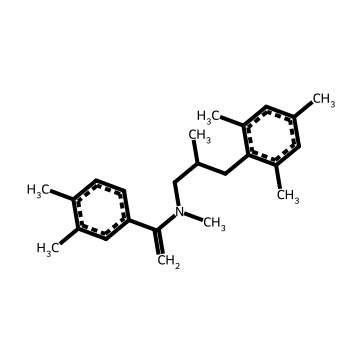 C=C(c1ccc(C)c(C)c1)N(C)CC(C)Cc1c(C)cc(C)cc1C